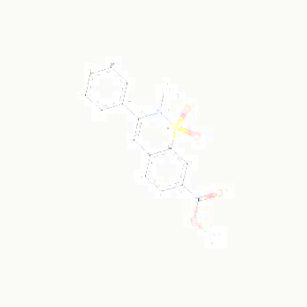 COC(=O)c1ccc2c(c1)S(=O)(=O)N(C)C(c1ccccc1)=C2